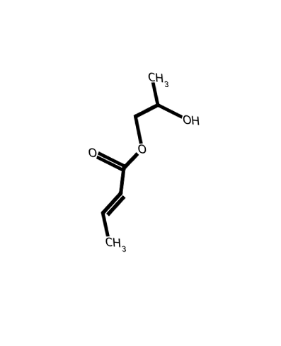 C/C=C/C(=O)OCC(C)O